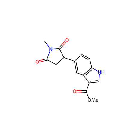 COC(=O)c1c[nH]c2ccc(C3CC(=O)N(C)C3=O)cc12